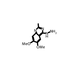 COc1cc2nc(C)nc(NN)c2cc1OC